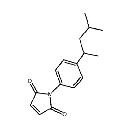 CC(C)CC(C)c1ccc(N2C(=O)C=CC2=O)cc1